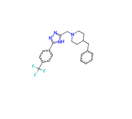 FC(F)(F)c1ccc(-c2nnc(CN3CCC(Cc4ccccc4)CC3)[nH]2)cc1